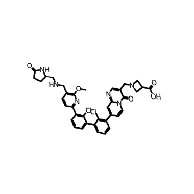 COc1nc(-c2cccc(-c3cccc(-c4ccn5c(=O)c(CN6CC(C(=O)O)C6)cnc5c4)c3Cl)c2Cl)ccc1CNC[C@H]1CCC(=O)N1